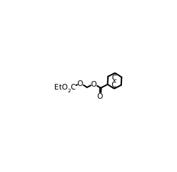 CCOC(=O)OCOC(=O)C1CC2CCC1CC2